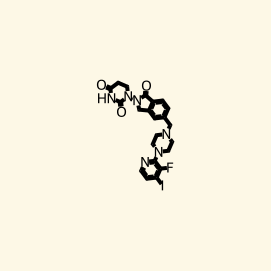 O=C1CCN(N2Cc3cc(CN4CCN(c5nccc(I)c5F)CC4)ccc3C2=O)C(=O)N1